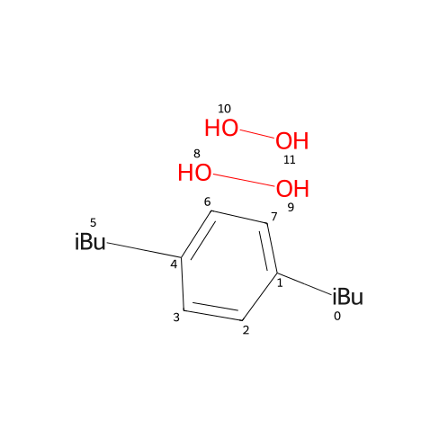 CCC(C)c1ccc(C(C)CC)cc1.OO.OO